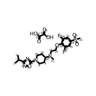 CC(C)c1noc(N2CCC(N(C)CCOc3c(F)cc(S(C)(=O)=O)cc3F)CC2)n1.O=C(O)C(=O)O